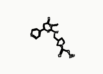 Cn1c(NCC2CCN(C(=O)OC(C)(C)C)C2)nc(-c2ccncc2)cc1=O